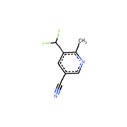 Cc1ncc(C#N)cc1C(F)F